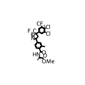 COC(=O)[C@@H](C)NC(=O)c1ccc(C2=NOC(c3cc(Cl)c(Cl)c(C(F)(F)F)c3)(C(F)(F)F)C2)cc1C